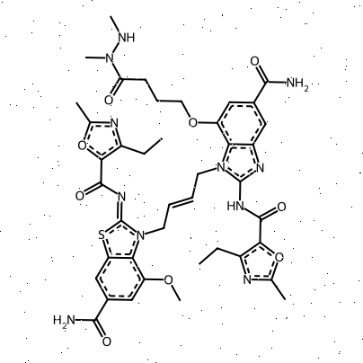 CCc1nc(C)oc1C(=O)/N=c1\sc2cc(C(N)=O)cc(OC)c2n1C/C=C/Cn1c(NC(=O)c2oc(C)nc2CC)nc2cc(C(N)=O)cc(OCCCC(=O)N(C)NC)c21